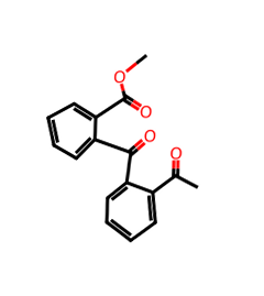 COC(=O)c1ccccc1C(=O)c1ccccc1C(C)=O